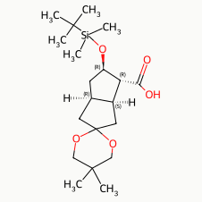 CC1(C)COC2(C[C@H]3C[C@@H](O[Si](C)(C)C(C)(C)C)[C@H](C(=O)O)[C@H]3C2)OC1